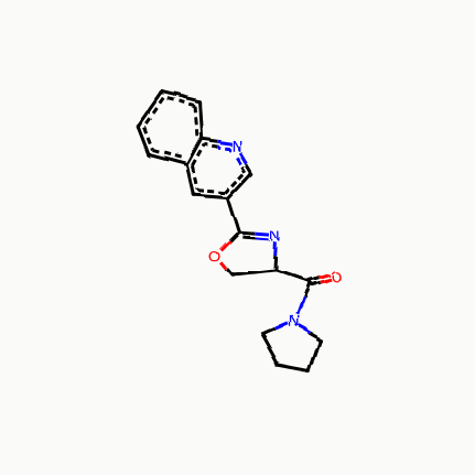 O=C(C1COC(c2cnc3ccccc3c2)=N1)N1CCCC1